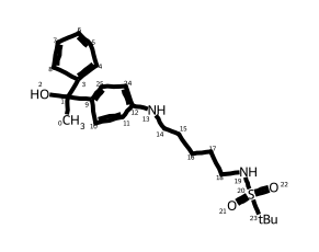 CC(O)(c1ccccc1)c1ccc(NCCCCCNS(=O)(=O)C(C)(C)C)cc1